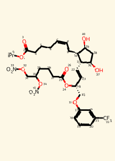 CC(C)OC(=O)CCC/C=C\C[C@@H]1[C@@H](/C=C/[C@H](COc2cccc(C(F)(F)F)c2)OC(=O)CCCC(CO[N+](=O)[O-])O[N+](=O)[O-])[C@H](O)C[C@@H]1O